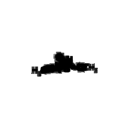 CN1CCC(CCNC(=O)c2c(=O)c3cnc(N4CC5CN(C)CC5C4)nc3n3c2[nH]c2ccccc23)CC1